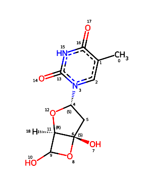 Cc1cn([C@@H]2C[C@]3(O)OC(O)[C@H]3O2)c(=O)[nH]c1=O